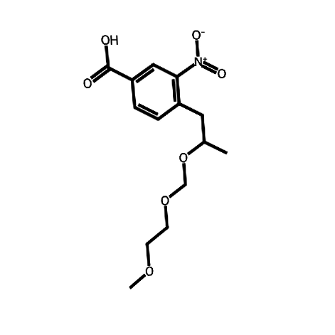 COCCOCOC(C)Cc1ccc(C(=O)O)cc1[N+](=O)[O-]